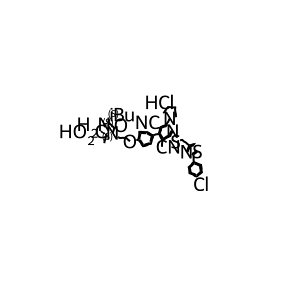 CC[C@H](C)[C@H](N)C(=O)N(CCOc1ccc(-c2c(C#N)c(SCc3csc(-c4ccc(Cl)cc4)n3)nc(N3CCCC3)c2C#N)cc1)[C@@H](C)C(=O)O.Cl